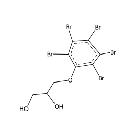 OCC(O)COc1c(Br)c(Br)c(Br)c(Br)c1Br